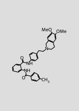 COc1cc2c(cc1OC)CN(CCc1ccc(NC(=O)c3ccccc3NC(=O)c3ccc(C)cc3)cc1)CC2